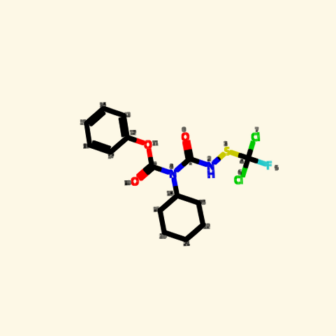 O=C(NSC(F)(Cl)Cl)N(C(=O)Oc1ccccc1)C1CCCCC1